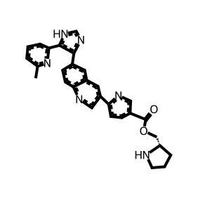 Cc1cccc(-c2[nH]cnc2-c2ccc3ncc(-c4ccc(C(=O)OC[C@@H]5CCCN5)cn4)cc3c2)n1